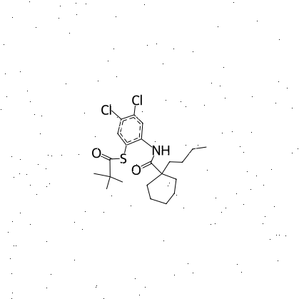 CCCCC1(C(=O)Nc2cc(Cl)c(Cl)cc2SC(=O)C(C)(C)C)CCCCC1